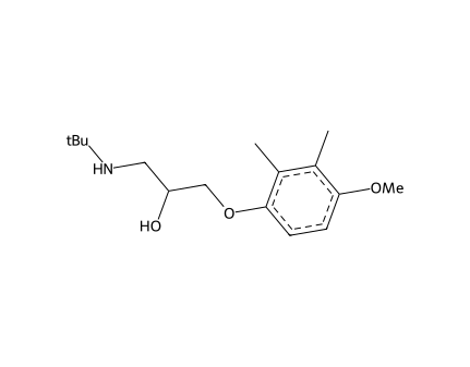 COc1ccc(OCC(O)CNC(C)(C)C)c(C)c1C